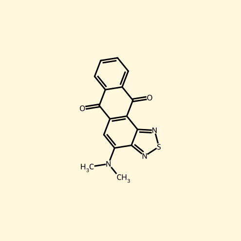 CN(C)c1cc2c(c3nsnc13)C(=O)c1ccccc1C2=O